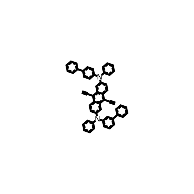 C#Cc1c2ccc(N(c3ccccc3)c3cccc(-c4ccccc4)c3)cc2c(C#C)c2ccc(N(c3ccccc3)c3ccc(-c4ccccc4)cc3)cc12